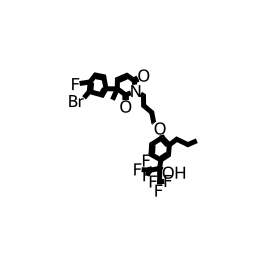 CCCc1cc(C(O)(C(F)(F)F)C(F)(F)F)ccc1OCCCCN1C(=O)C=CC(C)(c2ccc(F)c(Br)c2)C1=O